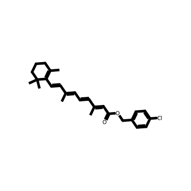 CC1=C(/C=C/C(C)=C/C=C/C(C)=C/C(=O)O[CH]c2ccc(Cl)cc2)C(C)(C)CCC1